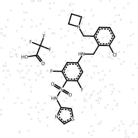 O=C(O)C(F)(F)F.O=S(=O)(Nc1cscn1)c1c(F)cc(NCc2c(Cl)cccc2CN2CCC2)cc1F